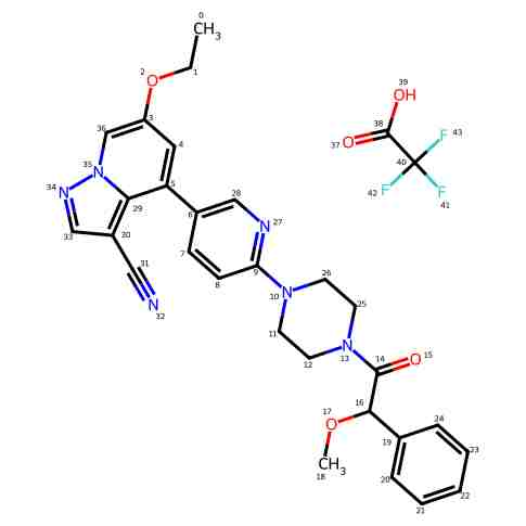 CCOc1cc(-c2ccc(N3CCN(C(=O)C(OC)c4ccccc4)CC3)nc2)c2c(C#N)cnn2c1.O=C(O)C(F)(F)F